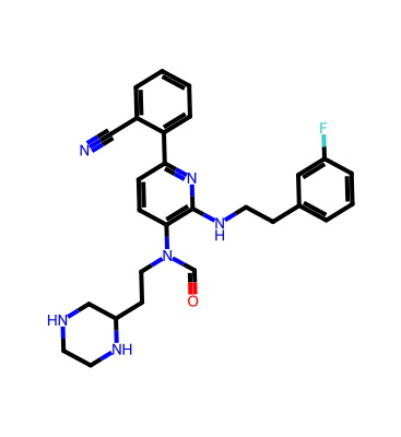 N#Cc1ccccc1-c1ccc(N(C=O)CCC2CNCCN2)c(NCCc2cccc(F)c2)n1